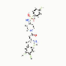 N[C@@H](CC(=O)N1CCC(NS(=O)(=O)c2ccc(F)cc2)CC1)Cc1cc(F)c(F)cc1F